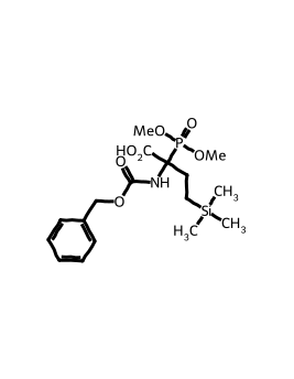 COP(=O)(OC)C(CC[Si](C)(C)C)(NC(=O)OCc1ccccc1)C(=O)O